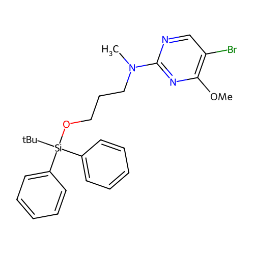 COc1nc(N(C)CCCO[Si](c2ccccc2)(c2ccccc2)C(C)(C)C)ncc1Br